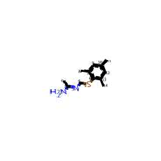 C/C(N)=N\CSc1c(C)cc(C)cc1C